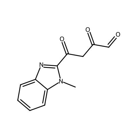 Cn1c(C(=O)CC(=O)C=O)nc2ccccc21